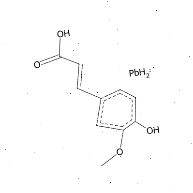 COc1cc(C=CC(=O)O)ccc1O.[PbH2]